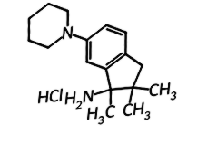 CC1(C)Cc2ccc(N3CCCCC3)cc2C1(C)N.Cl